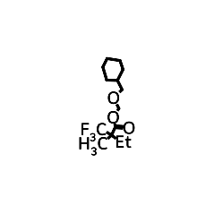 CCC(C)(C(=O)OCOCC1CCCCC1)C(F)(F)F